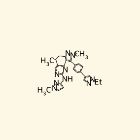 CCn1cc(-c2ccc(-c3c4c(nn3C)CC(C)c3cnc(Nc5ccn(C)n5)nc3-4)cc2)cn1